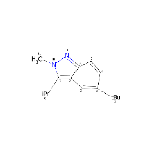 CC(C)c1c2cc(C(C)(C)C)ccc2nn1C